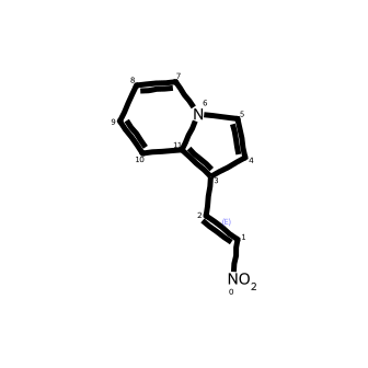 O=[N+]([O-])/C=C/c1ccn2ccccc12